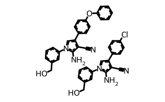 N#Cc1c(-c2ccc(Cl)cc2)cn(-c2cccc(CO)c2)c1N.N#Cc1c(-c2ccc(Oc3ccccc3)cc2)cn(-c2cccc(CO)c2)c1N